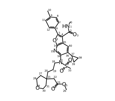 CNC(=O)c1c(-c2ccc(C)cc2)oc2nc(N(CCCC3(CC(=O)OC)CCOCC3)S(C)(=O)=O)c(C3CC3)cc12